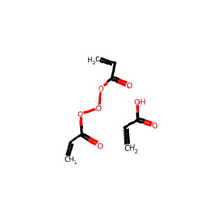 C=CC(=O)O.C=CC(=O)OOOC(=O)C=C